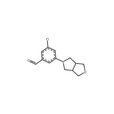 O=Cc1cc(Cl)cc(N2CC3COCC3C2)c1